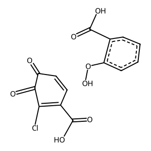 O=C(O)C1=C(Cl)C(=O)C(=O)C=C1.O=C(O)c1ccccc1OO